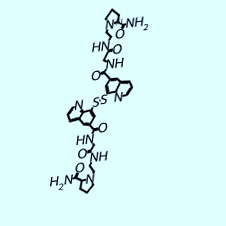 NC(=O)C1CCCN1CCNC(=O)CNC(=O)c1cc(SSc2cc(C(=O)NCC(=O)NCCN3CCC[C@H]3C(N)=O)cc3cccnc23)c2ncccc2c1